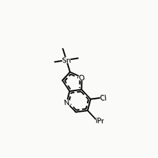 CC(C)c1cnc2c[c]([Sn]([CH3])([CH3])[CH3])oc2c1Cl